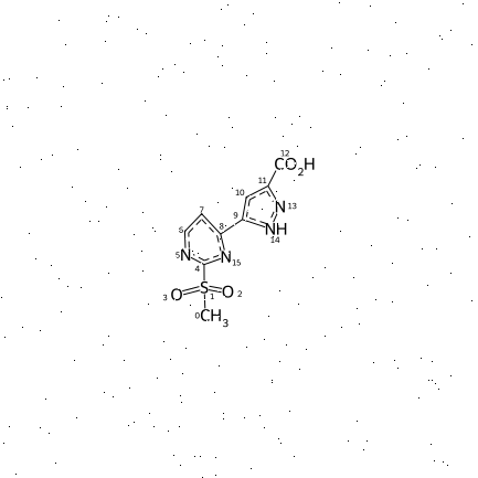 CS(=O)(=O)c1nccc(-c2cc(C(=O)O)n[nH]2)n1